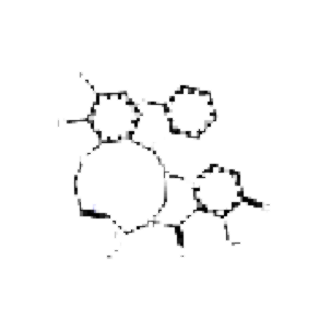 CC[C@@H]1/C=C/COc2c(ccc(F)c2F)[C@H](c2ccccc2C)N2CN1C(=O)c1c(O)c(=O)ccn12